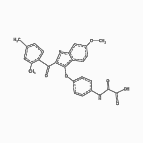 COc1ccc2c(Oc3ccc(NC(=O)C(=O)O)cc3)c(C(=O)c3ccc(C)cc3C)sc2c1